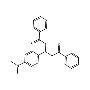 CN(C)c1ccc(C(CC(=O)c2ccccc2)CC(=O)c2ccccc2)cc1